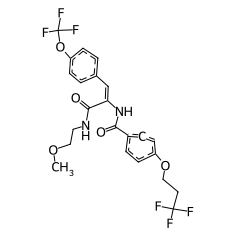 COCCNC(=O)/C(=C\c1ccc(OC(F)(F)F)cc1)NC(=O)c1ccc(OCCC(F)(F)F)cc1